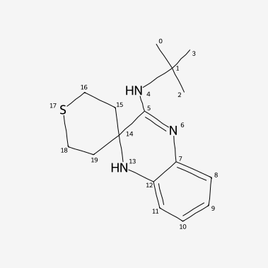 CC(C)(C)NC1=Nc2ccccc2NC12CCSCC2